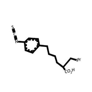 CC(C)CC(CCCCc1ccc(N=C=S)cc1)C(=O)O